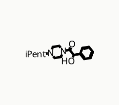 CCCC(C)N1CCN(C(=O)C(O)c2ccccc2)CC1